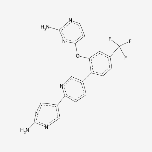 Nc1ncc(-c2ccc(-c3ccc(C(F)(F)F)cc3Oc3ccnc(N)n3)cn2)cn1